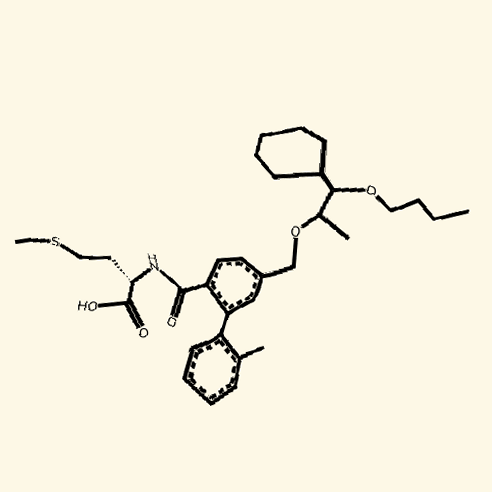 CCCCOC(C1CCCCC1)C(C)OCc1ccc(C(=O)N[C@@H](CCSC)C(=O)O)c(-c2ccccc2C)c1